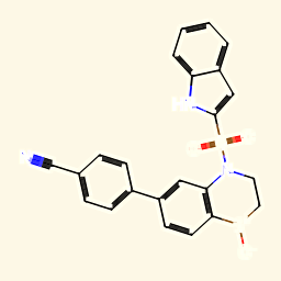 N#Cc1ccc(-c2ccc3c(c2)N(S(=O)(=O)c2cc4ccccc4[nH]2)CC[S+]3[O-])cc1